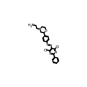 NCCN1CCOC(c2ccc(/N=N/c3c(Cl)nc(-c4ccccc4)nc3Cl)cc2)C1